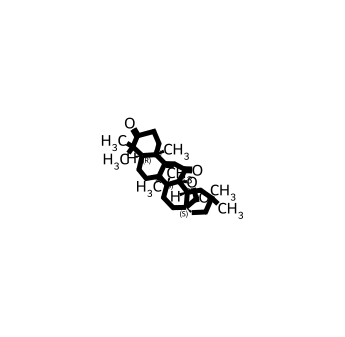 CC1(C)CC[C@@]23CC[C@@]4(C)[C@]5(C)CC[C@H]6C(C)(C)C(=O)CC[C@]6(C)C5=CC(=O)[C@]4(OC2=O)[C@@H]3C1